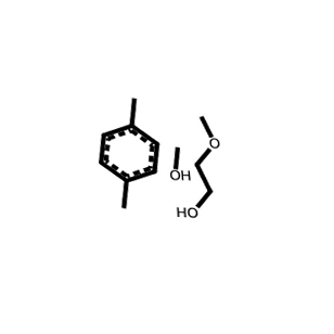 CO.COCCO.Cc1ccc(C)cc1